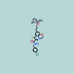 CC(C)[Si](OCCCc1cc2c3c(c1)c(=S)c(C(=O)NCc1ccc(Cl)cc1)cn3CCO2)(C(C)C)C(C)C